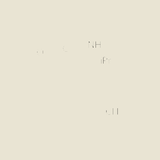 Cc1ccccc1C(C)C.N=C=O